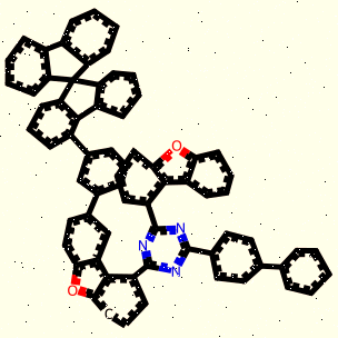 c1ccc(-c2ccc(-c3nc(-c4cccc5oc6ccccc6c45)nc(-c4cccc5oc6ccc(-c7cccc(-c8cccc9c8-c8ccccc8C98c9ccccc9-c9ccccc98)c7)cc6c45)n3)cc2)cc1